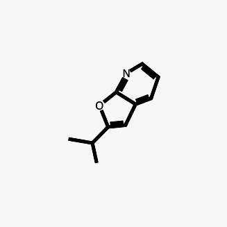 CC(C)c1cc2cccnc2o1